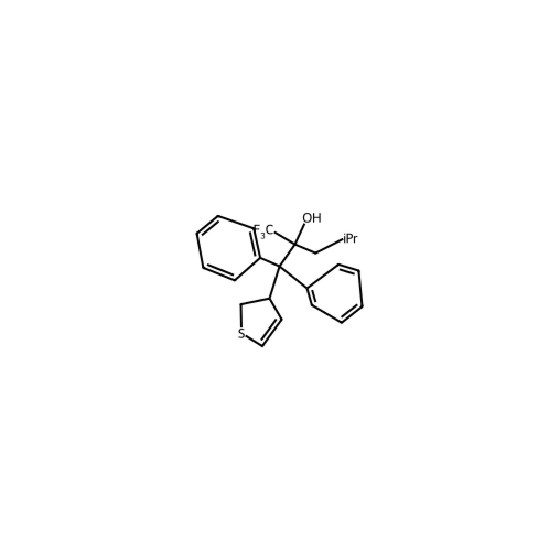 CC(C)CC(O)(C(F)(F)F)C(c1ccccc1)(c1ccccc1)C1C=CSC1